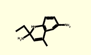 CCC1(N)C=C(C)c2cc(N)ccc2N1